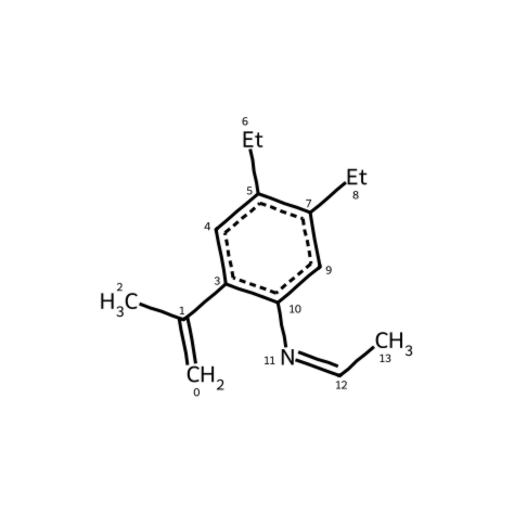 C=C(C)c1cc(CC)c(CC)cc1/N=C\C